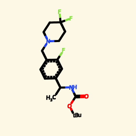 CC(NC(=O)OC(C)(C)C)c1ccc(CN2CCC(F)(F)CC2)c(F)c1